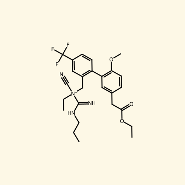 CCCNC(=N)[N+](C#N)(CC)Cc1cc(C(F)(F)F)ccc1-c1cc(CC(=O)OCC)ccc1OC